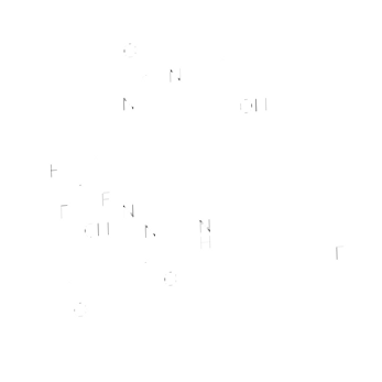 Cc1cocc1C(=O)n1nc(C2CN(C(=O)N3CCC(O)C3)CCC2C(F)(F)F)cc1NCc1ccc(F)cc1